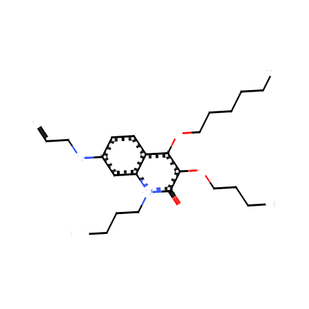 C=CCNc1ccc2c(OCCCCCC)c(OCCCC)c(=O)n(CCCC)c2c1